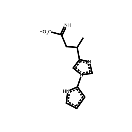 CC(CC(=N)C(=O)O)c1cn(-c2ccc[nH]2)cn1